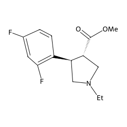 CCN1C[C@@H](C(=O)OC)[C@H](c2ccc(F)cc2F)C1